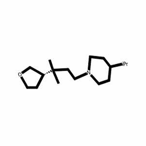 CC(C)C1CCN(CCC(C)(C)[C@@H]2CCOC2)CC1